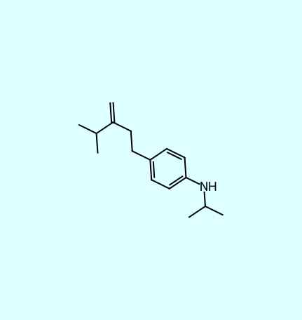 C=C(CCc1ccc(NC(C)C)cc1)C(C)C